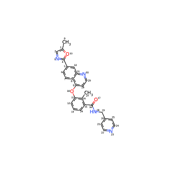 Cc1cnc(-c2ccc3c(Oc4cccc(C(=O)NCc5ccncc5)c4C)ccnc3c2)o1